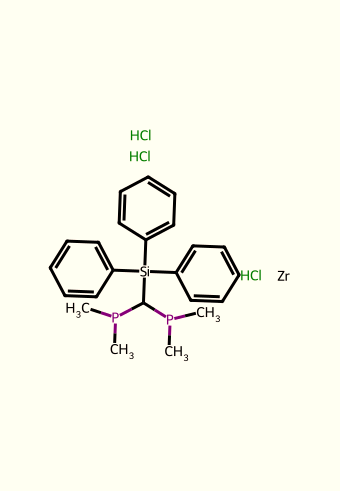 CP(C)C(P(C)C)[Si](c1ccccc1)(c1ccccc1)c1ccccc1.Cl.Cl.Cl.[Zr]